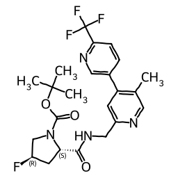 Cc1cnc(CNC(=O)[C@@H]2C[C@@H](F)CN2C(=O)OC(C)(C)C)cc1-c1ccc(C(F)(F)F)nc1